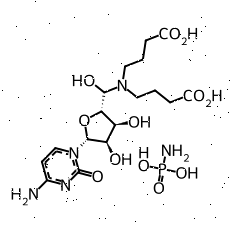 NP(=O)(O)O.Nc1ccn([C@@H]2O[C@H](C(O)N(CCCC(=O)O)CCCC(=O)O)[C@@H](O)[C@H]2O)c(=O)n1